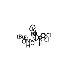 CC(C)(C)OC(=O)NCC(=O)NCc1[nH]c2c(Cl)c(Cl)ccc2c1-c1cnn(C2CCCCO2)c1